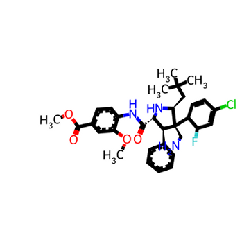 COC(=O)c1ccc(NC(=O)[C@@H]2N[C@@H](CC(C)(C)C)[C@](CN)(C3C=CC(Cl)=CC3F)[C@H]2c2ccccc2)c(OC)c1